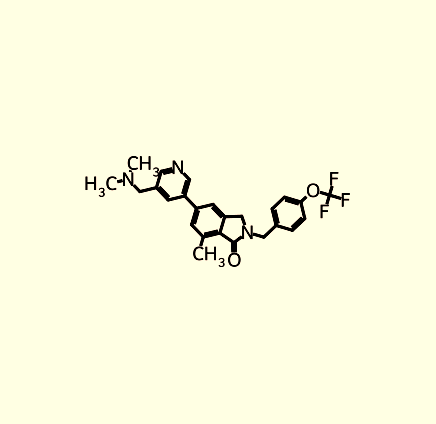 Cc1cc(-c2cncc(CN(C)C)c2)cc2c1C(=O)N(Cc1ccc(OC(F)(F)F)cc1)C2